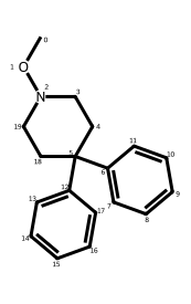 CON1CCC(c2ccccc2)(c2ccccc2)CC1